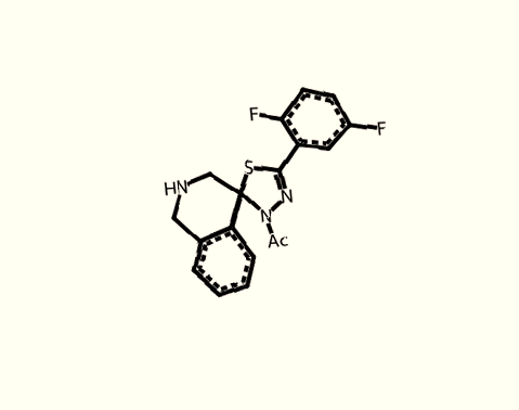 CC(=O)N1N=C(c2cc(F)ccc2F)SC12CNCc1ccccc12